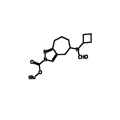 CC(C)(C)OC(=O)n1cc2c(n1)CCCC(N(C=O)C1CCC1)C2